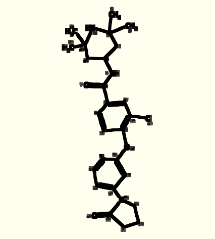 CC1(C)CC(NC(=O)c2ccc(Oc3cccc(N4CCCC4=O)c3)c(Cl)c2)CC(C)(C)N1